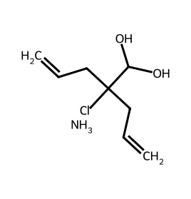 C=CCC(Cl)(CC=C)C(O)O.N